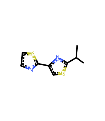 CC(C)c1nc(-c2nccs2)cs1